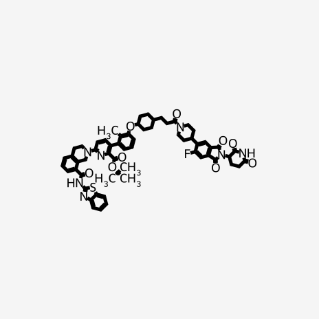 Cc1c(OC2CCC(CCC(=O)N3CCC(c4cc5c(cc4F)C(=O)N(C4CCC(=O)NC4=O)C5=O)CC3)CC2)cccc1-c1ccc(N2CCc3cccc(C(=O)Nc4nc5ccccc5s4)c3C2)nc1C(=O)OC(C)(C)C